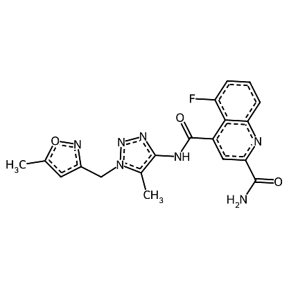 Cc1cc(Cn2nnc(NC(=O)c3cc(C(N)=O)nc4cccc(F)c34)c2C)no1